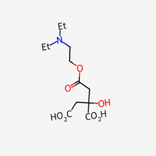 CCN(CC)CCOC(=O)CC(O)(CC(=O)O)C(=O)O